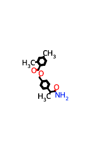 Cc1ccc(C(=O)OCc2ccc(C(C)C(N)=O)cc2)c(C)c1